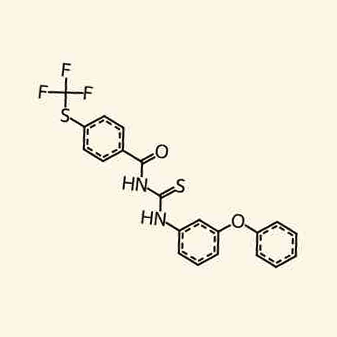 O=C(NC(=S)Nc1cccc(Oc2ccccc2)c1)c1ccc(SC(F)(F)F)cc1